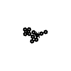 c1ccc(-c2ccc(-c3nc(-c4ccccc4)nc(-c4cccc5c6ccccc6c6cc(-c7ccc8c(c7)-c7ccccc7C87c8ccccc8-c8ccccc87)ccc6c45)n3)cc2)cc1